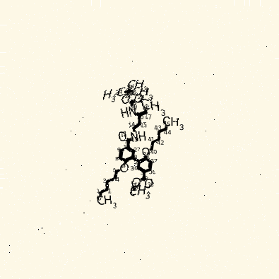 CCCCCCOc1ccc(C(=O)NCCC(CC)NC(=O)OC(C)(C)C)cc1-c1cc(C(=O)OC)ccc1OCCCCCC